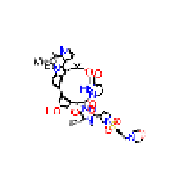 CCn1c(-c2cccnc2[C@H](C)OC)c2c3cc(ccc31)-c1cc(O)cc(c1)C[C@H](NC(=O)C(C(C)C)N(C)C(=O)[C@H]1CCN(S(=O)(=O)C#CCN3CCOCC3)C1)C(=O)N1CCC[C@H](N1)C(=O)OCC(C)(C)C2